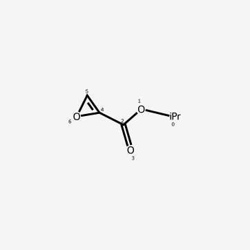 CC(C)OC(=O)C1=CO1